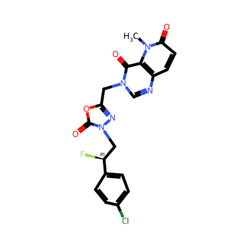 Cn1c(=O)ccc2ncn(Cc3nn(C[C@H](F)c4ccc(Cl)cc4)c(=O)o3)c(=O)c21